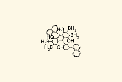 Bc1c(B)c(O)c2c(-c3cccc4ccccc34)c3c(O)c(B)c(B)c(O)c3c(-c3cccc(-c4cccc5ccccc45)c3)c2c1O